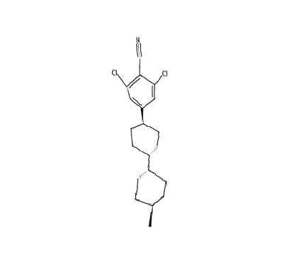 C[C@H]1CC[C@H]([C@H]2CC[C@H](c3cc(Cl)c(C#N)c(Cl)c3)CC2)CC1